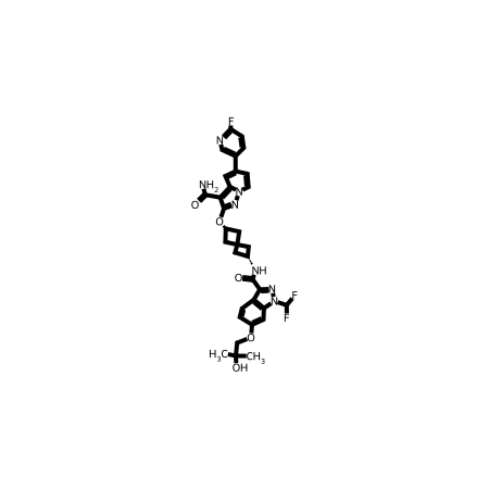 CC(C)(O)COc1ccc2c(C(=O)N[C@H]3CC4(C3)C[C@H](Oc3nn5ccc(-c6ccc(F)nc6)cc5c3C(N)=O)C4)nn(C(F)F)c2c1